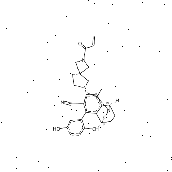 C=CC(=O)N1CC2(CCN(c3nc4c(c(-c5cc(O)ccc5Cl)c3C#N)[C@@H]3CC[C@H]4N(C(C)C)C3)C2)C1